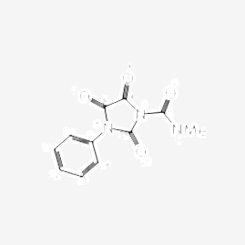 CNC(=O)N1C(=O)C(=O)N(c2ccccc2)C1=O